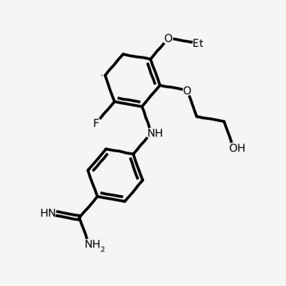 CCOC1=C(OCCO)C(Nc2ccc(C(=N)N)cc2)=C(F)[CH]C1